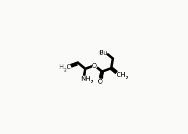 C=CC(N)OC(=O)C(=C)CC(C)CC